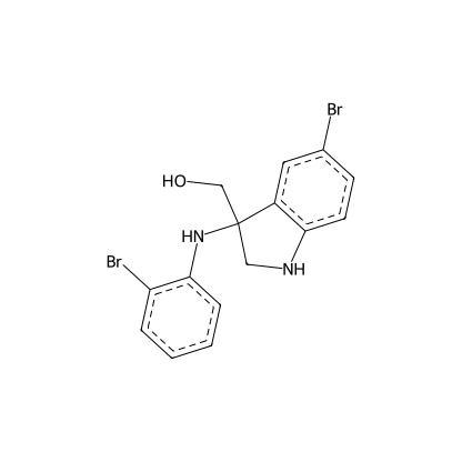 OCC1(Nc2ccccc2Br)CNc2ccc(Br)cc21